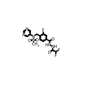 CS(=O)(=O)N(Cc1ccc(C(=O)NNC(=O)C(F)F)cc1F)c1cncnc1